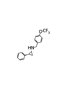 FC(F)(F)Oc1ccc(CN[C@@H]2C[C@H]2c2ccccc2)cc1